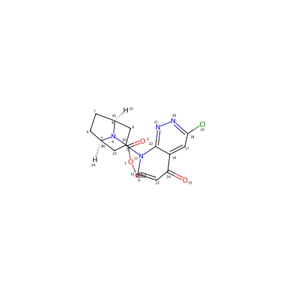 CC(C)(C)OC(=O)N1[C@@H]2CC[C@H]1CC(n1ccc(=O)c3cc(Cl)nnc31)C2